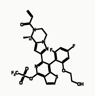 C=CC(=O)N1CCn2nc(-c3nc(OS(=O)(=O)C(F)(F)F)c4ccsc4c3-c3c(F)cc(F)cc3OCCO)cc2[C@H]1C